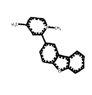 Cc1cc[n+](C)c(-c2ccc3oc4ccccc4c3c2)c1